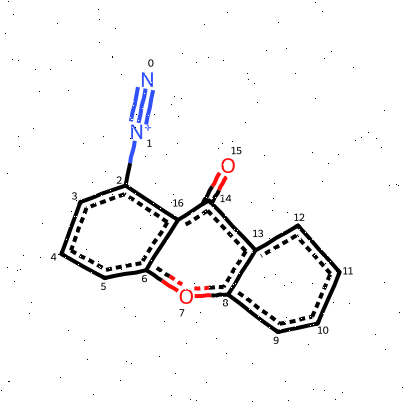 N#[N+]c1cccc2oc3ccccc3c(=O)c12